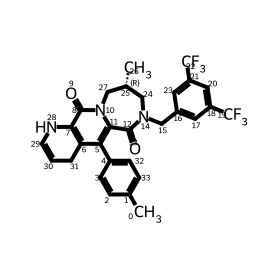 Cc1ccc(-c2c3c(c(=O)n4c2C(=O)N(Cc2cc(C(F)(F)F)cc(C(F)(F)F)c2)C[C@@H](C)C4)NC=CC3)cc1